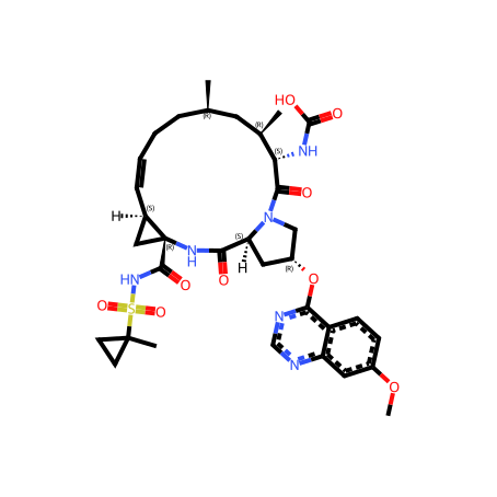 COc1ccc2c(O[C@@H]3C[C@H]4C(=O)N[C@]5(C(=O)NS(=O)(=O)C6(C)CC6)C[C@H]5C=CCC[C@@H](C)C[C@@H](C)[C@H](NC(=O)O)C(=O)N4C3)ncnc2c1